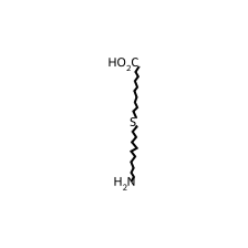 NCCCCCCCCCCCSCCCCCCCCCCCC(=O)O